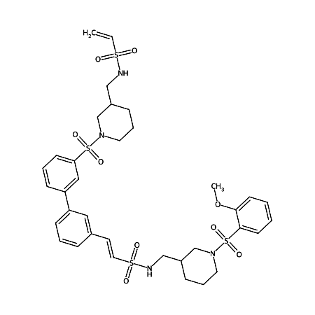 C=CS(=O)(=O)NCC1CCCN(S(=O)(=O)c2cccc(-c3cccc(/C=C/S(=O)(=O)NCC4CCCN(S(=O)(=O)c5ccccc5OC)C4)c3)c2)C1